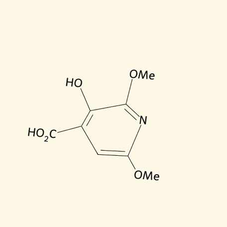 COc1cc(C(=O)O)c(O)c(OC)n1